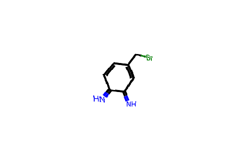 N=C1C=CC(CBr)=CC1=N